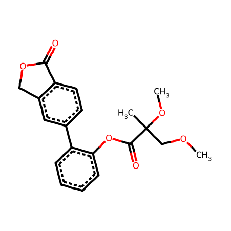 COCC(C)(OC)C(=O)Oc1ccccc1-c1ccc2c(c1)COC2=O